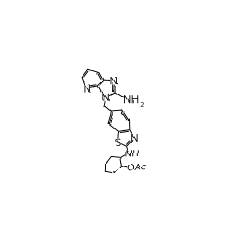 CC(=O)OC1CCCCC1Nc1nc2ccc(Cn3c(N)nc4cccnc43)cc2s1